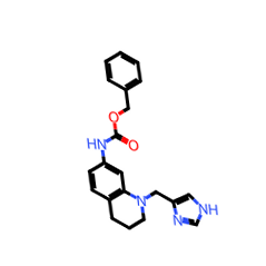 O=C(Nc1ccc2c(c1)N(Cc1c[nH]cn1)CCC2)OCc1ccccc1